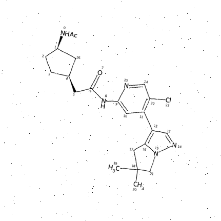 CC(=O)N[C@@H]1CC[C@H](CC(=O)Nc2cc(-c3cnn4c3CC(C)(C)C4)c(Cl)cn2)C1